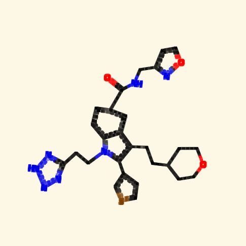 O=C(NCc1ccon1)c1ccc2c(c1)c(CCC1CCOCC1)c(-c1ccsc1)n2CCc1nn[nH]n1